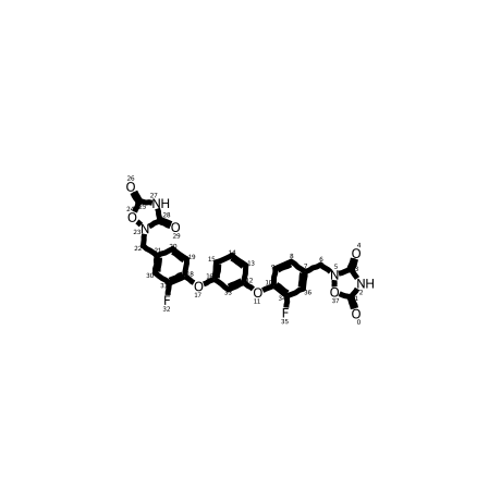 O=c1[nH]c(=O)n(Cc2ccc(Oc3cccc(Oc4ccc(Cn5oc(=O)[nH]c5=O)cc4F)c3)c(F)c2)o1